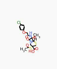 COC1(NC(=O)COc2ccc(Cl)cc2)C(=O)N2CC(SC(C)=O)(C(=O)O)CS[C@@H]21